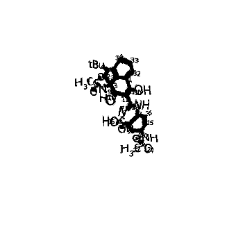 CC(C)(C)CCC1(NS(C)(=O)=O)C(=O)C(C2=NS(O)(O)c3cc(NS(C)(=O)=O)ccc3N2)=C(O)c2ccccc21